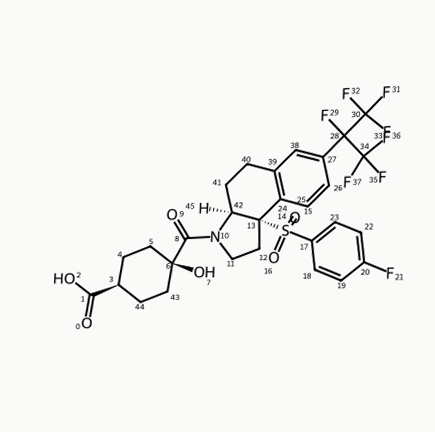 O=C(O)[C@H]1CC[C@](O)(C(=O)N2CC[C@]3(S(=O)(=O)c4ccc(F)cc4)c4ccc(C(F)(C(F)(F)F)C(F)(F)F)cc4CC[C@H]23)CC1